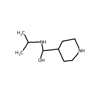 CC(C)NC(O)C1CCNCC1